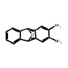 Nc1cc2c(cc1N)c1oc2c2ccccc21